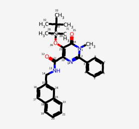 Cn1c(-c2ccccc2)nc(C(=O)NCc2ccc3ccccc3c2)c(O[Si](C)(C)C(C)(C)C)c1=O